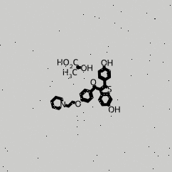 CC(O)C(=O)O.O=C(c1ccc(OCCN2CCCCC2)cc1)c1c(-c2ccc(O)cc2)sc2cc(O)ccc12